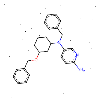 Nc1ccc(N(Cc2ccccc2)C2CCCC(OCc3ccccc3)C2)cn1